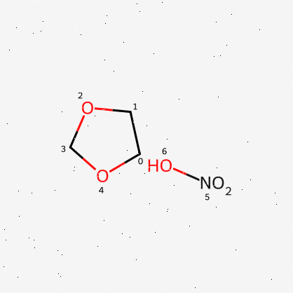 C1COCO1.O=[N+]([O-])O